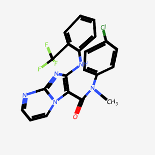 CN(C(=O)c1c(Nc2ccccc2C(F)(F)F)nc2ncccn12)c1ccc(Cl)cc1